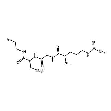 CC(C)CCNC(=O)C(CC(=O)O)NC(=O)CNC(=O)[C@H](N)CCCNC(=N)N